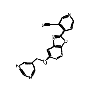 N#Cc1cnccc1-c1nc2cc(OCc3cncnc3)ccc2o1